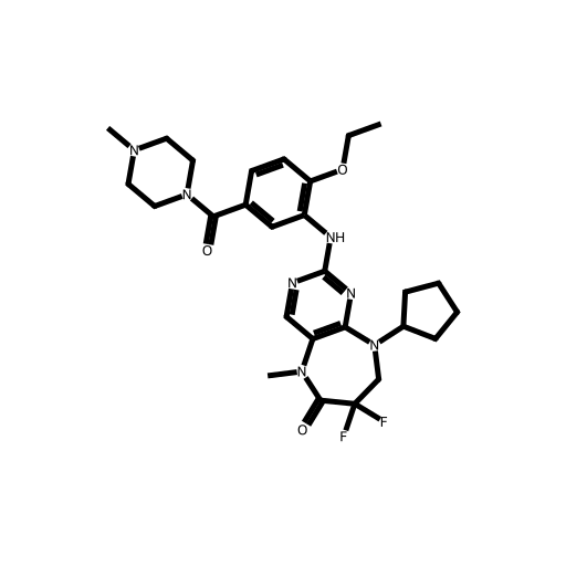 CCOc1ccc(C(=O)N2CCN(C)CC2)cc1Nc1ncc2c(n1)N(C1CCCC1)CC(F)(F)C(=O)N2C